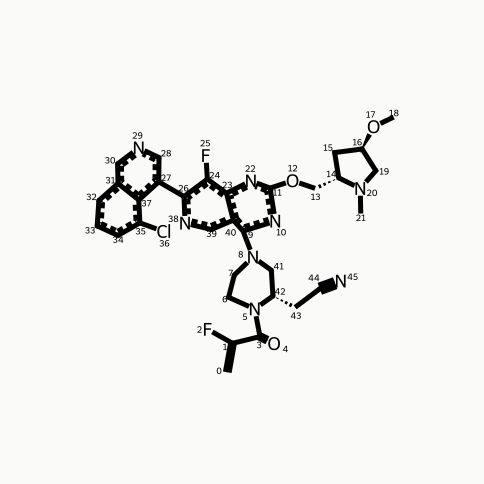 C=C(F)C(=O)N1CCN(c2nc(OC[C@@H]3C[C@@H](OC)CN3C)nc3c(F)c(-c4cncc5cccc(Cl)c45)ncc23)C[C@@H]1CC#N